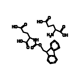 NC(CCC(=O)O)C(=O)O.O=C(O)CCC(NC(=O)OCC1c2ccccc2-c2ccccc21)C(=O)O